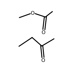 CCC(C)=O.COC(C)=O